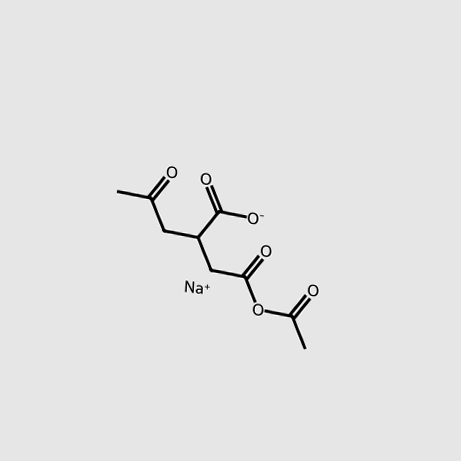 CC(=O)CC(CC(=O)OC(C)=O)C(=O)[O-].[Na+]